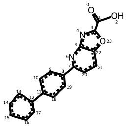 O=C(O)c1nc2nc(-c3ccc(-c4ccccc4)cc3)ccc2o1